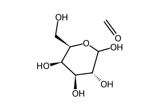 C=O.OC[C@H]1OC(O)[C@H](O)[C@@H](O)[C@H]1O